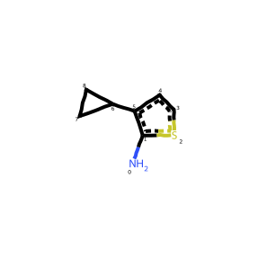 Nc1sccc1C1CC1